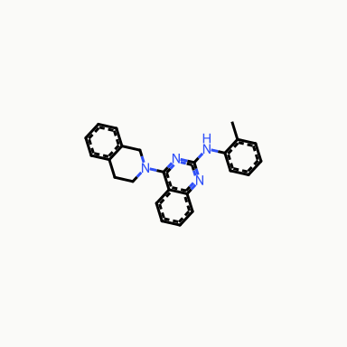 Cc1ccccc1Nc1nc(N2CCc3ccccc3C2)c2ccccc2n1